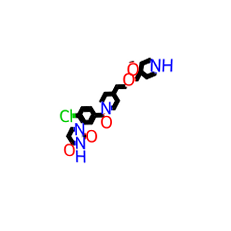 COC1(COCCC2CCN(C(=O)c3ccc(Cl)c(N4CCC(=O)NC4=O)c3)CC2)CCNCC1